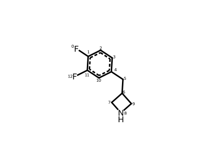 Fc1ccc(CC2CNC2)cc1F